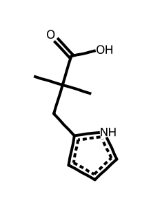 CC(C)(Cc1ccc[nH]1)C(=O)O